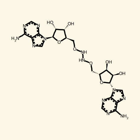 Nc1ncnc2c1ncn2[C@@H]1O[C@H](CONNOC[C@H]2O[C@@H](n3cnc4c(N)ncnc43)[C@H](O)[C@@H]2O)[C@@H](O)[C@H]1O